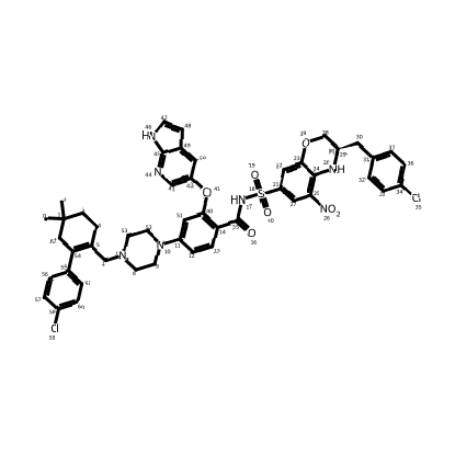 CC1(C)CCC(CN2CCN(c3ccc(C(=O)NS(=O)(=O)c4cc5c(c([N+](=O)[O-])c4)N[C@H](Cc4ccc(Cl)cc4)CO5)c(Oc4cnc5[nH]ccc5c4)c3)CC2)=C(c2ccc(Cl)cc2)C1